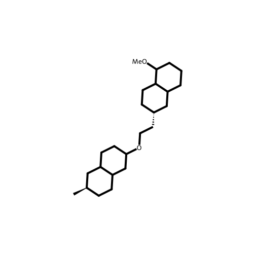 COC1CCCC2C[C@H](CCOC3CCC4C[C@H](C)CCC4C3)CCC21